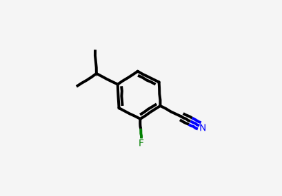 C[C](C)c1ccc(C#N)c(F)c1